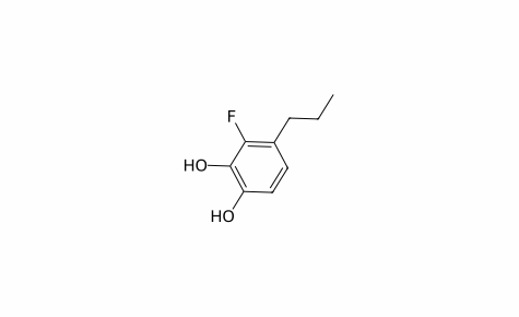 CCCc1ccc(O)c(O)c1F